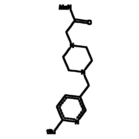 CNC(=O)CN1CCN(Cc2ccc(C(C)(C)C)nc2)CC1